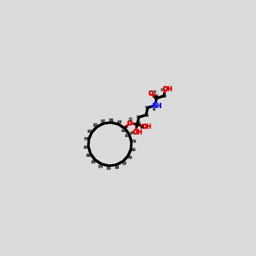 O=C(CO)NCCCC(O)(O)OC1CCCCCCCCCCCCCCCCC1